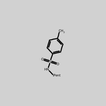 [CH2]CCC([CH2])NS(=O)(=O)c1ccc(C)cc1